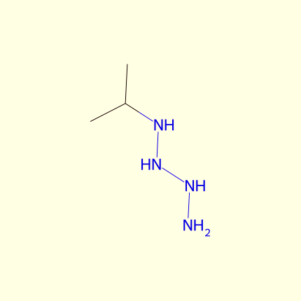 CC(C)NNNN